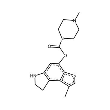 Cc1csc2c(OC(=O)N3CCN(C)CC3)cc3c(c12)CCN3